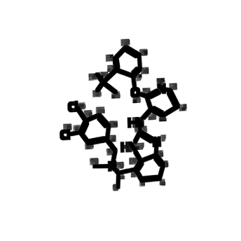 CC(c1cccc2nc(Nc3cccnc3Oc3ccccc3C(C)(C)C)[nH]c12)N(C)Cc1ccc(Cl)c(Cl)c1